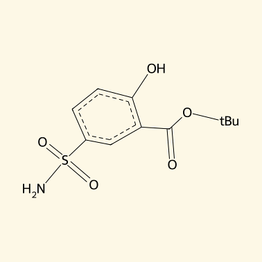 CC(C)(C)OC(=O)c1cc(S(N)(=O)=O)ccc1O